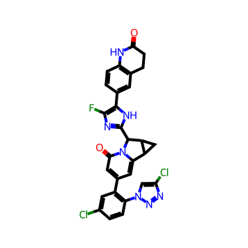 O=C1CCc2cc(-c3[nH]c(C4C5CC5c5cc(-c6cc(Cl)ccc6-n6cc(Cl)nn6)cc(=O)n54)nc3F)ccc2N1